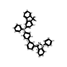 CC1(C)c2ccccc2-c2cc(N(c3ccccc3)c3ccc(-c4cccc(-c5nn(-c6ccccc6)c6ccccc56)c4)cc3)ccc21